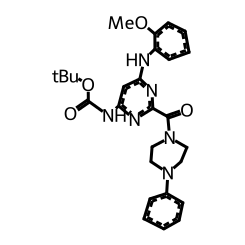 COc1ccccc1Nc1cc(NC(=O)OC(C)(C)C)nc(C(=O)N2CCN(c3ccccc3)CC2)n1